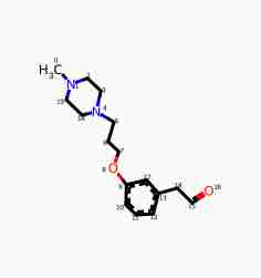 CN1CCN(CCCOc2cccc(CC=O)c2)CC1